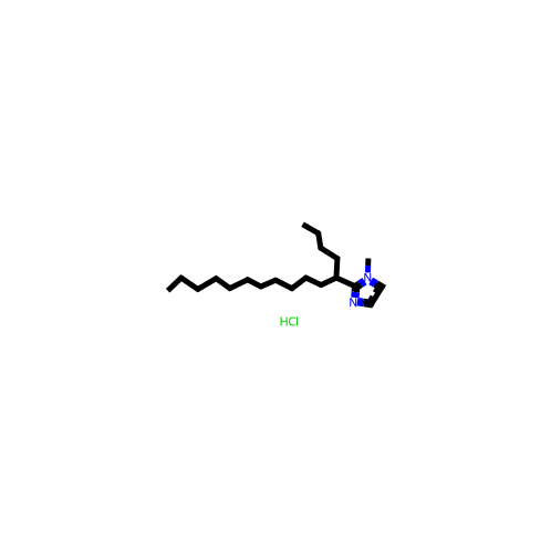 CCCCCCCCCCCC(CCCC)c1nccn1C.Cl